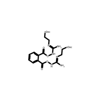 CCCCCCCCCCCCN=C(N)NOC(=O)c1ccccc1C(=O)ONC(N)=NCCCCCCCCCCCC